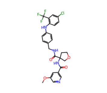 COc1cncc(C(=O)NC2(C(=O)NCc3ccc(Nc4ccc(Cl)cc4C(F)(F)F)cc3)CCOC2)c1